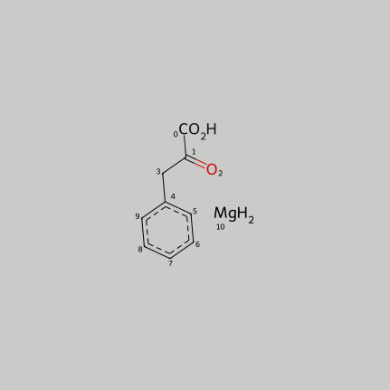 O=C(O)C(=O)Cc1ccccc1.[MgH2]